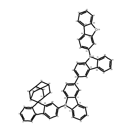 c1ccc2c(c1)-c1ccc(-n3c4ccccc4c4cc(-c5ccc6c(c5)c5ccccc5n6-c5ccc6c(c5)oc5ccccc56)ccc43)cc1C21C2CC3CC(C2)CC1C3